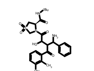 Cc1c(O)cccc1C(=O)C(C(O)C(=O)N1CS(=O)(=O)C[C@H]1C(=O)NC(C)(C)C)C(N)c1ccccc1